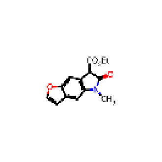 CCOC(=O)C1C(=O)N(C)c2cc3ccoc3cc21